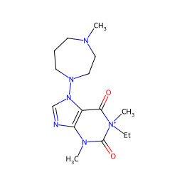 CC[N+]1(C)C(=O)c2c(ncn2N2CCCN(C)CC2)N(C)C1=O